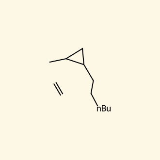 C=C.CCCCCCC1CC1C